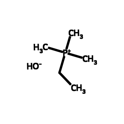 CC[P+](C)(C)C.[OH-]